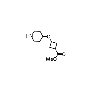 COC(=O)[C@H]1C[C@H](OC2CCNCC2)C1